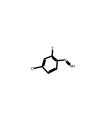 N=Nc1ccc(Cl)cc1F